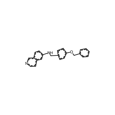 c1ccc(COc2ccc(CNc3ccc4cnccc4c3)cc2)cc1